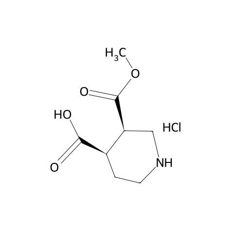 COC(=O)[C@H]1CNCC[C@H]1C(=O)O.Cl